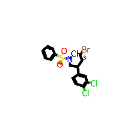 CN(CC(CCBr)c1ccc(Cl)c(Cl)c1)S(=O)(=O)c1ccccc1